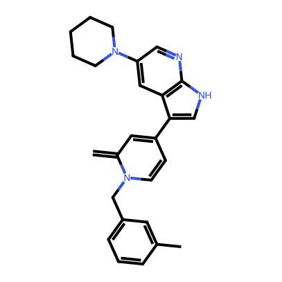 C=C1C=C(c2c[nH]c3ncc(N4CCCCC4)cc23)C=CN1Cc1cccc(C)c1